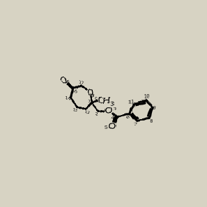 CC1(COC(=O)c2ccccc2)CCCC(=O)CO1